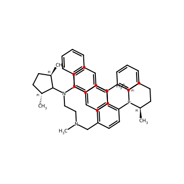 C[C@@H]1CC[C@@H](C)C1N(CCN(C)Cc1ccc(P2[C@H](C)CCC[C@H]2C)c(P(c2ccccc2)c2ccccc2)c1)P(c1ccccc1)c1ccccc1